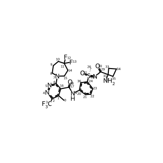 Cc1c(C(F)(F)F)nnc(N2CCCC(F)(F)CC2)c1C(=O)Nc1cccc([S@@](C)(=O)=NC(=O)C2(N)CCC2)c1